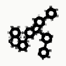 c1ccc(-c2cccc(-n3c4cc(-c5ccccc5)ccc4c4ccc(-c5cccc6c5-c5ccccc5OC6)cc43)c2)cc1